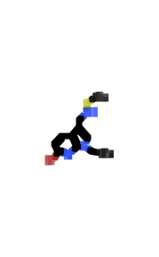 CC(C)(C)Cn1cc(CNSC(C)(C)C)c2ccc(Br)nc21